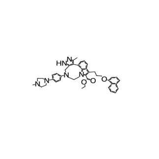 CCOC(=O)c1c(CCCOc2cccc3ccccc23)c2cccc3c2n1CCCN(c1ccc(N2CCN(C)CC2)cc1)Cc1[nH]nc(C)c1-3